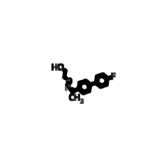 C/C(=N/OCCO)c1ccc(-c2ccc(F)cc2)cc1